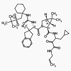 C=CCNC(=O)C(=O)C(CC1CC1)NC(=O)[C@@H]1[C@@H]2[C@H](CN1C(=O)[C@@H](NC(=O)NC1(CS(=O)(=O)C(C)(C)C)CCCCC1)C1(C)Cc3ccccc3C1)C2(C)C